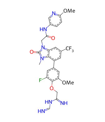 COc1ccc(NC(=O)Cn2c(=O)n(C)c3c(-c4cc(F)c(OCC(=N)NC=N)c(OC)c4)cc(C(F)(F)F)cc32)cn1